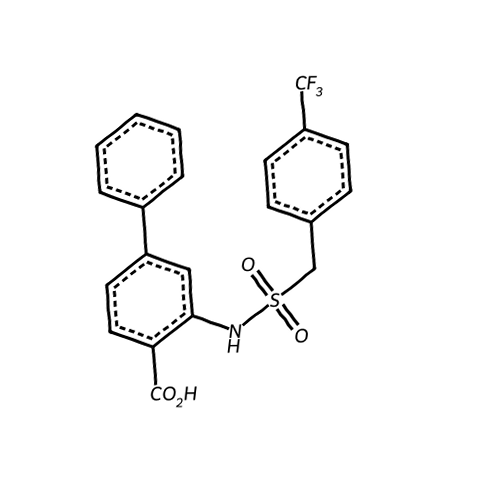 O=C(O)c1ccc(-c2ccccc2)cc1NS(=O)(=O)Cc1ccc(C(F)(F)F)cc1